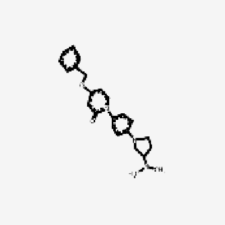 CN(C)C1CCN(c2ccc(-n3ccc(OCc4ccccc4)cc3=O)cc2)C1